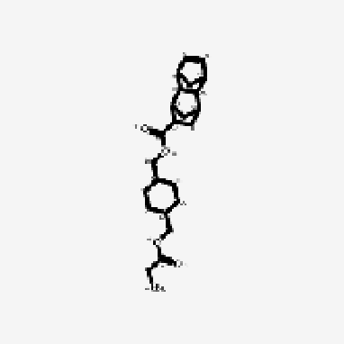 CC(C)(C)CC(=O)OCC1CCC(COC(=O)C2CC3CC2C2C4C=CC(C4)C32)CC1